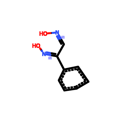 O/N=C\C(=N/O)c1ccccc1